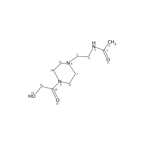 CC(=O)NCCN1CCN(C(=O)CO)CC1